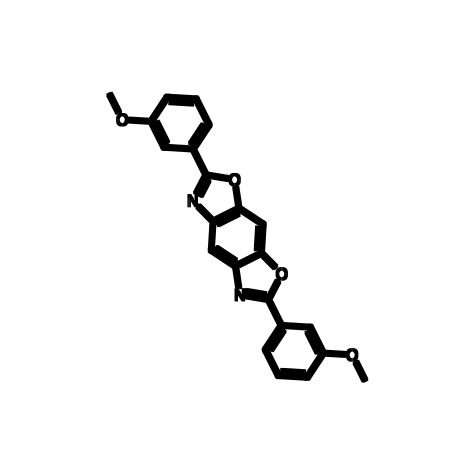 COc1cccc(-c2nc3cc4nc(-c5cccc(OC)c5)oc4cc3o2)c1